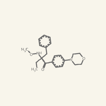 CCC(Cc1ccccc1)(NOC)C(=O)c1ccc(N2CCOCC2)cc1